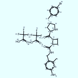 Cc1nc(N)ccc1CNC(=O)[C@@H]1CCN1C(=O)[C@H]1C[C@H](Cc2ccc(Br)cc2)CN1.O=C(O)C(F)(F)F.O=C(O)C(F)(F)F